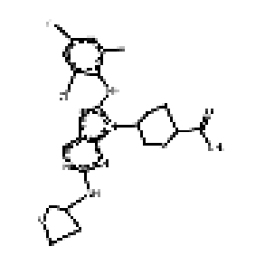 NC(=O)C1CCC(n2c(Nc3c(F)cc(Cl)cc3Cl)nc3cnc(NC4CCOC4)nc32)CC1